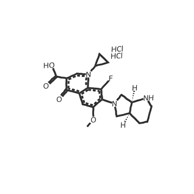 COc1cc2c(=O)c(C(=O)O)cn(C3CC3)c2c(F)c1N1C[C@@H]2CCCN[C@@H]2C1.Cl.Cl